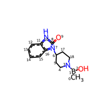 CB(O)N1CCC(n2c(=O)[nH]c3ccccc32)CC1